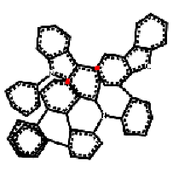 c1ccc(-c2ccccc2-c2c(-c3ccccc3)cccc2N(c2ccc3c4ccccc4n(-c4ccccc4)c3c2)c2ccccc2-c2cccc3c2oc2ccccc23)cc1